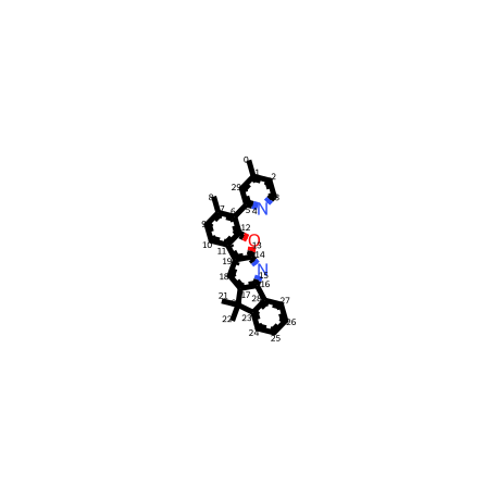 Cc1ccnc(-c2c(C)ccc3c2oc2nc4c(cc23)C(C)(C)c2ccccc2-4)c1